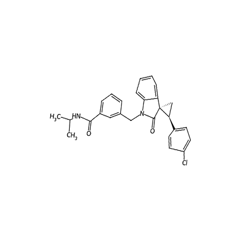 CC(C)NC(=O)c1cccc(CN2C(=O)[C@@]3(C[C@H]3c3ccc(Cl)cc3)c3ccccc32)c1